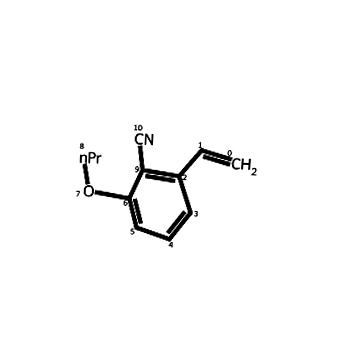 C=Cc1cccc(OCCC)c1C#N